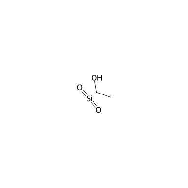 CCO.O=[Si]=O